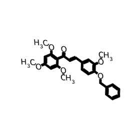 COc1cc(OC)c(C(=O)/C=C/c2ccc(OCc3ccccc3)c(OC)c2)c(OC)c1